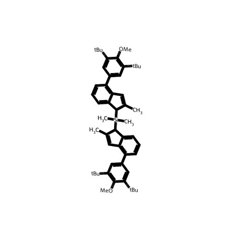 COc1c(C(C)(C)C)cc(-c2cccc3c2C=C(C)C3[Si](C)(C)C2C(C)=Cc3c(-c4cc(C(C)(C)C)c(OC)c(C(C)(C)C)c4)cccc32)cc1C(C)(C)C